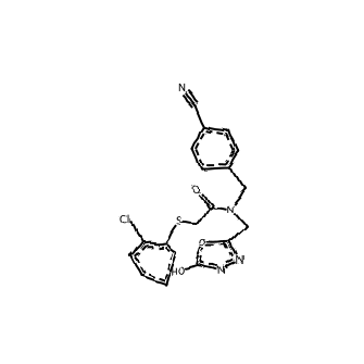 N#Cc1ccc(CN(Cc2nnc(O)o2)C(=O)CSc2ccccc2Cl)cc1